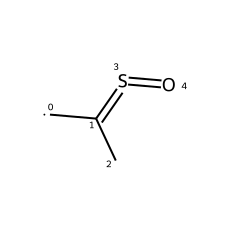 [CH2]C(C)=S=O